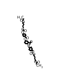 C=CC(=O)OCCCCOC(=O)Oc1ccc(CN2CC(=O)c3cc(OC(=O)c4ccc(OC(=O)OCCCCOC(=O)C=C)cc4)ccc32)cc1